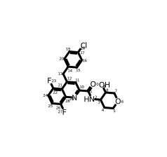 O=C(NC1CCOCC1O)c1cc(Cc2ccc(Cl)cc2)c2c(F)ccc(F)c2n1